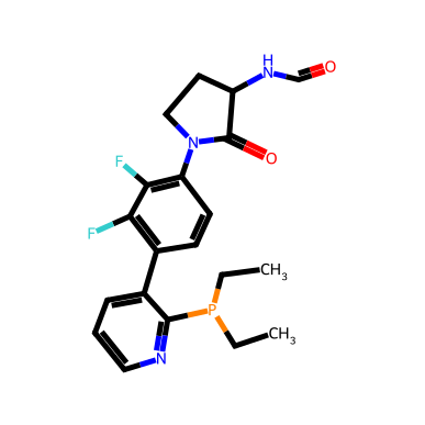 CCP(CC)c1ncccc1-c1ccc(N2CCC(NC=O)C2=O)c(F)c1F